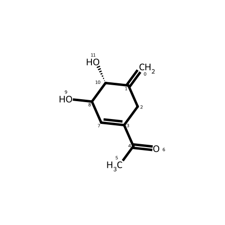 C=C1CC(C(C)=O)=CC(O)[C@@H]1O